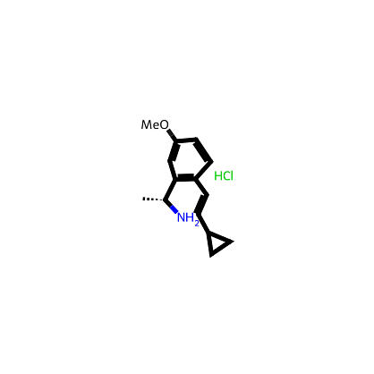 COc1ccc(/C=C/C2CC2)c([C@@H](C)N)c1.Cl